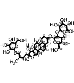 C[C@H](CCC1(O)OC2C[C@H]3[C@@H]4CC=C5CC(O[C@@H]6OC(CO)[C@@H](O)C(O)[C@@H]6O[C@@H]6OC(O)[C@H](O)C(O)[C@@H]6O)CC[C@]5(C)[C@H]4CC[C@]3(C)[C@H]2[C@@H]1C)CO[C@@H]1OC(CO)[C@@H](O)C(O)[C@@H]1O